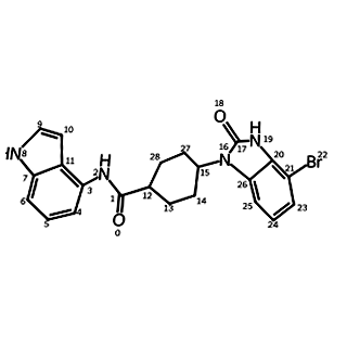 O=C(Nc1cccc2[nH]ccc12)C1CCC(n2c(=O)[nH]c3c(Br)cccc32)CC1